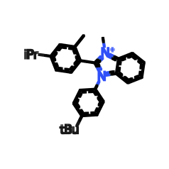 Cc1cc(C(C)C)ccc1-c1n(-c2ccc(C(C)(C)C)cc2)c2ccccc2[n+]1C